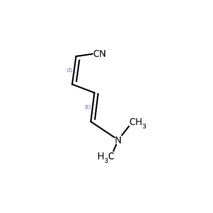 CN(C)/C=C/C=C\C#N